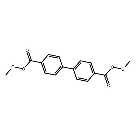 COOC(=O)c1ccc(-c2ccc(C(=O)OOC)cc2)cc1